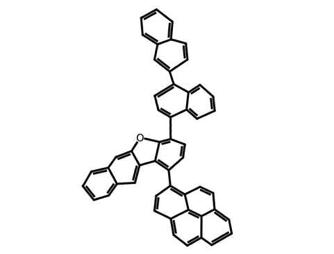 c1ccc2cc(-c3ccc(-c4ccc(-c5ccc6ccc7cccc8ccc5c6c78)c5c4oc4cc6ccccc6cc45)c4ccccc34)ccc2c1